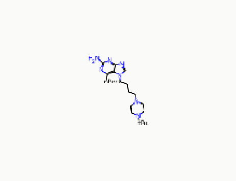 CCCCCc1nc(N)nc2ncn(CCCCN3CCN(C(C)(C)C)CC3)c12